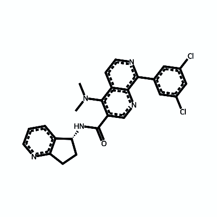 CN(C)c1c(C(=O)N[C@@H]2CCc3ncccc32)cnc2c(-c3cc(Cl)cc(Cl)c3)nccc12